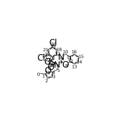 Cc1ccc(CN2C(=O)N(Cc3ccccc3)c3cc(Cl)cc(Cl)c3S2(=O)=O)o1